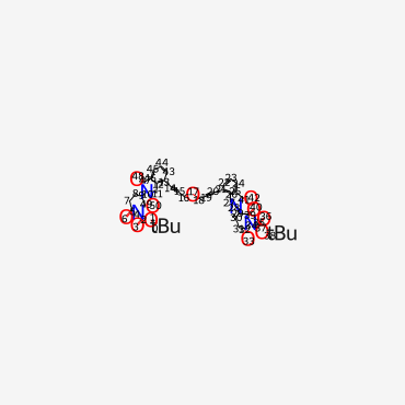 CC(C)(C)OC(=O)N1C(=O)CCC(N2Cc3c(C#CCOCC#Cc4cccc5c4CN(C4CCC(=O)N(C(=O)OC(C)(C)C)C4=O)C5=O)cccc3C2=O)C1=O